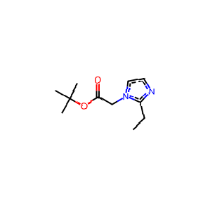 CCc1nccn1CC(=O)OC(C)(C)C